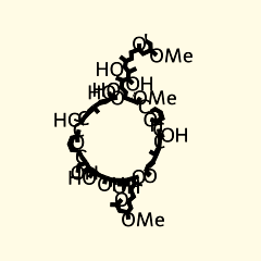 COC1CC(C)OC(CC[C@H](C)C2OC(=O)/C=C/C(C)=C/CC(O)C[C@@H]3C=CCC(CC(OC)[C@@H](C)C(C[C@@H](O)C(C)C(O)C(C)[C@@H](O)C(C)CCC4CC(OC)C[C@H](C)O4)OC(O)/C=C/C(C)=C/C[C@H](O)CC4C=CCC(CC(CO)C(C)C(O)CC(O)[C@H](C)C(O)C2C)O4)O3)C1